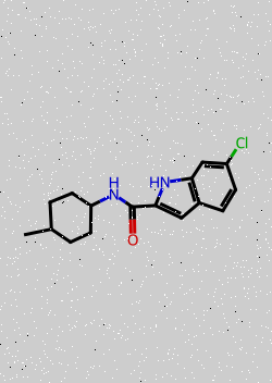 CC1CCC(NC(=O)c2cc3ccc(Cl)cc3[nH]2)CC1